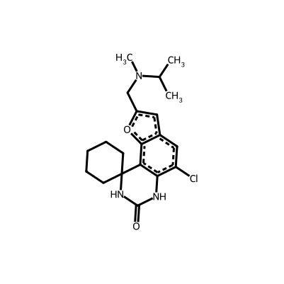 CC(C)N(C)Cc1cc2cc(Cl)c3c(c2o1)C1(CCCCC1)NC(=O)N3